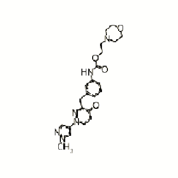 Cn1cc(-n2ccc(=O)c(Cc3cccc(NC(=O)OCCN4CCOCC4)c3)n2)cn1